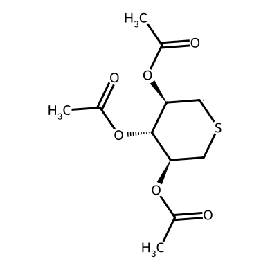 CC(=O)O[C@@H]1[C@@H](OC(C)=O)[CH]SC[C@H]1OC(C)=O